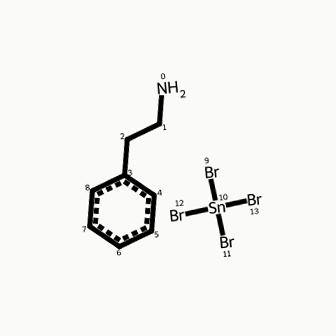 NCCc1ccccc1.[Br][Sn]([Br])([Br])[Br]